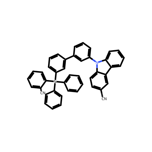 N#Cc1ccc2c(c1)c1ccccc1n2-c1cccc(-c2cccc([Si](c3ccccc3)(c3ccccc3)c3ccccc3C#N)c2)c1